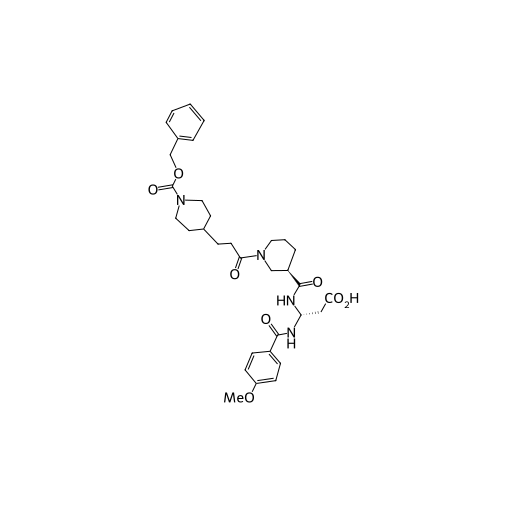 COc1ccc(C(=O)N[C@@H](CC(=O)O)NC(=O)[C@@H]2CCCN(C(=O)CCC3CCN(C(=O)OCc4ccccc4)CC3)C2)cc1